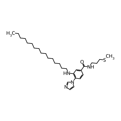 CCCCCCCCCCCCCCCCNc1cc(C(=O)NCCCSC)ccc1-n1ccnc1